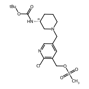 CC(C)(C)OC(=O)N[C@@H]1CCCN(Cc2cnc(Cl)c(COS(C)(=O)=O)c2)C1